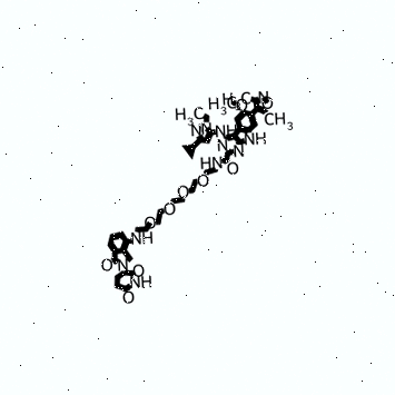 CCn1nc(C2CC2)cc1Nc1nc(C(=O)NCCOCCOCCOCCOCCNc2cccc3c2CN(C2CCC(=O)NC2=O)C3=O)nc2[nH]c3cc(-c4c(C)noc4C)c(OC)cc3c12